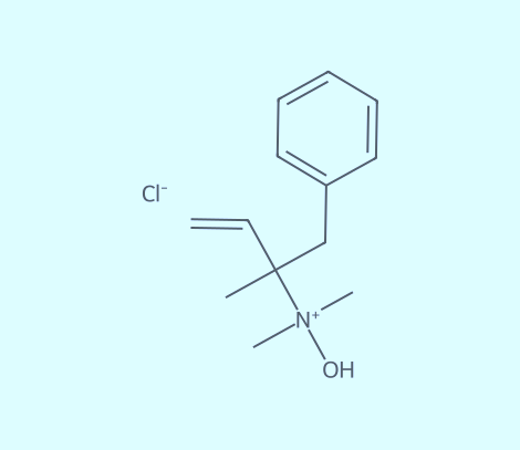 C=CC(C)(Cc1ccccc1)[N+](C)(C)O.[Cl-]